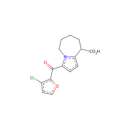 O=C(c1occc1Cl)c1ccc2n1CCCCC2C(=O)O